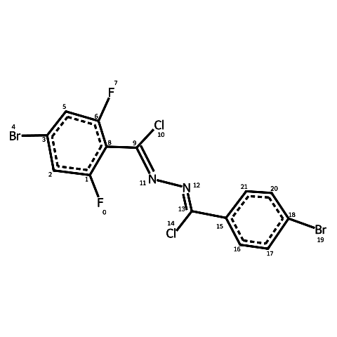 Fc1cc(Br)cc(F)c1C(Cl)=NN=C(Cl)c1ccc(Br)cc1